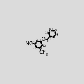 N#Cc1cc(OCc2cccnc2)cc(C(F)(F)F)c1